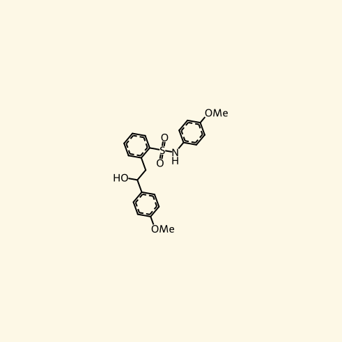 COc1ccc(NS(=O)(=O)c2ccccc2CC(O)c2ccc(OC)cc2)cc1